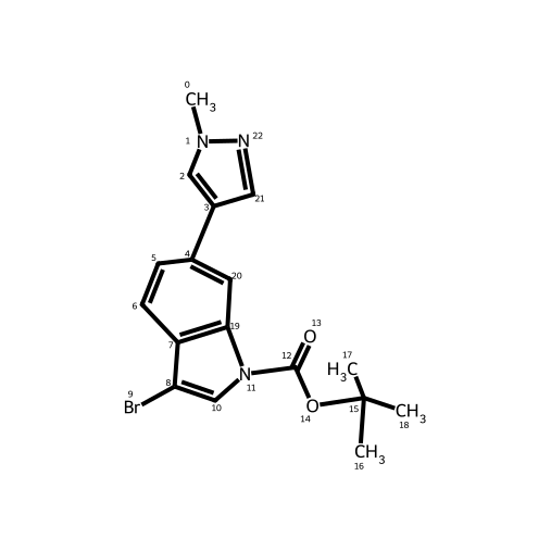 Cn1cc(-c2ccc3c(Br)cn(C(=O)OC(C)(C)C)c3c2)cn1